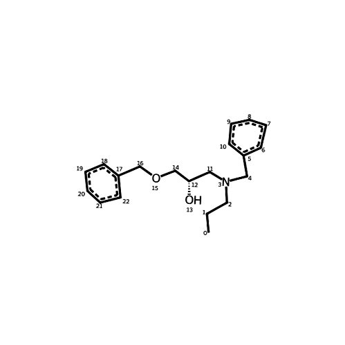 CCCN(Cc1ccccc1)C[C@H](O)COCc1ccccc1